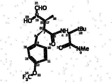 CNC(=O)C(NC(=O)[C@H](Cc1ccc(OC(F)(F)F)cc1)[C@H](C)N(O)C=O)C(C)(C)C